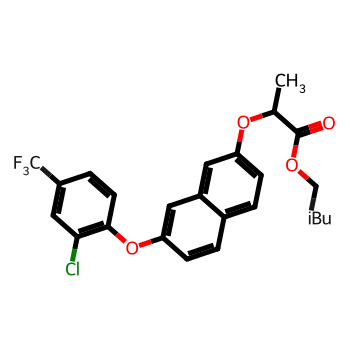 CCC(C)COC(=O)C(C)Oc1ccc2ccc(Oc3ccc(C(F)(F)F)cc3Cl)cc2c1